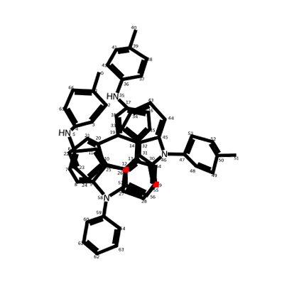 Cc1ccc(Nc2ccc3c(c2)c2c(-c4ccccc4-c4ccccc4-c4cccc5c4c4cc(Nc6ccc(C)cc6)ccc4n5-c4ccc(C)cc4)cccc2n3-c2ccccc2)cc1